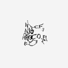 CCOC(=O)c1cccc(F)c1NS(=O)(=O)c1nc2nc(C)cc(C(F)(F)F)n2n1